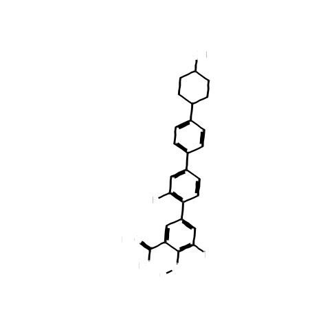 C=C(C)c1cc(-c2ccc(-c3ccc(C4CCC(C)CC4)cc3)cc2F)cc(F)c1OC(F)(F)F